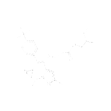 C=CC(C)COC(=O)OCO/C(=C(\c1ccc(C(C)(C)C)cc1)C1C=N1)c1cc(C)nn1CC